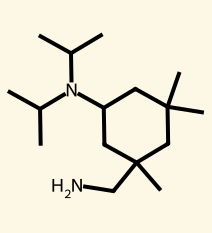 CC(C)N(C(C)C)C1CC(C)(C)CC(C)(CN)C1